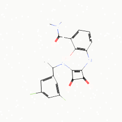 CN(C)C(=O)c1cccc(Nc2c(NC(c3cc(F)cc(F)c3)C(C)(C)C)c(=O)c2=O)c1O